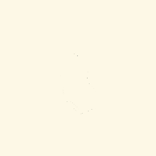 Clc1cc2ccc3c(c2c(Cl)n1)CCC3